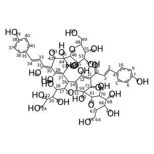 O=C(C=Cc1ccc(O)cc1)C1=C(O)C2=C(OC(C(O)C(O)C(O)CO)C2C2=C(O)C(=C(O)C=Cc3ccc(O)cc3)C(=O)C(O)(C3OC(CO)C(O)C(O)C3O)C2=O)C(O)(C2OC(CO)C(O)C(O)C2O)C1=O